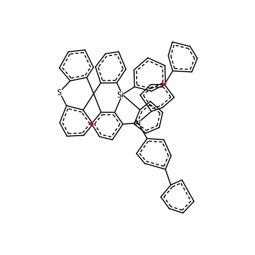 c1ccc(-c2ccc(N(c3ccc(-c4ccccc4)cc3)c3cccc4c3[Si](c3ccccc3)(c3ccccc3)c3ccccc3C43c4ccccc4Sc4ccccc43)cc2)cc1